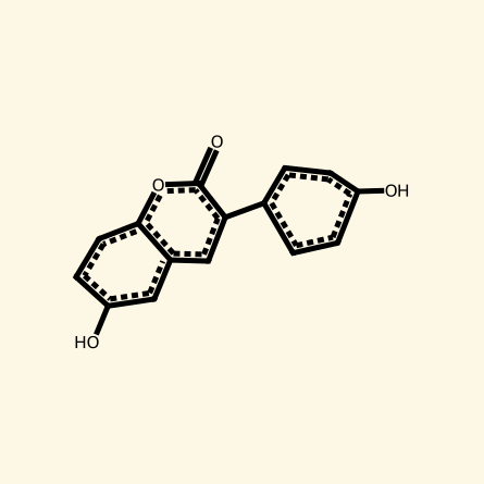 O=c1oc2ccc(O)cc2cc1-c1ccc(O)cc1